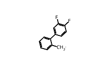 [CH2]c1ccccc1-c1ccc(F)c(F)c1